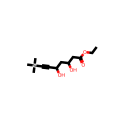 CCOC(=O)CC(O)CC(O)C#C[Si](C)(C)C